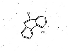 Oc1cc2ccccc2c2ccccc12.P